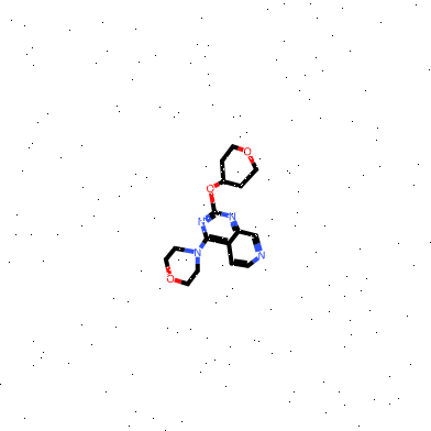 c1cc2c(N3CCOCC3)nc(OC3CCOCC3)nc2cn1